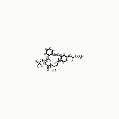 CC[C@@H](CNc1ccc(OC(C)C(=O)O)cc1OC)NC(=O)[C@H](CC(C)(C)F)N[C@@H](c1ccccc1)C(F)(F)F